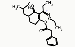 CCO/N=C(/CC)C1=C(OC(=O)Cc2ccccc2)CCC(CC(C)C)C1=O